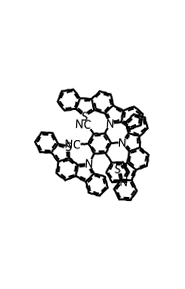 N#Cc1c(C#N)c(-n2c3ccccc3c3ccc4c5ccccc5sc4c32)c(-n2c3ccccc3c3ccc4c5ccccc5sc4c32)c(-c2ccncc2)c1-n1c2ccccc2c2ccc3c4ccccc4sc3c21